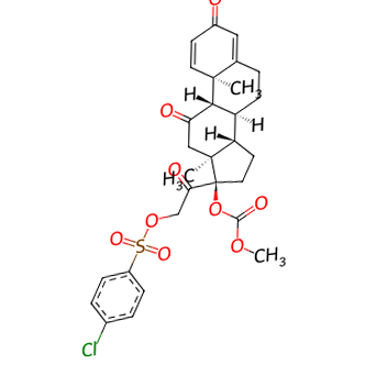 COC(=O)O[C@]1(C(=O)COS(=O)(=O)c2ccc(Cl)cc2)CC[C@H]2[C@@H]3CCC4=CC(=O)C=C[C@]4(C)[C@H]3C(=O)C[C@@]21C